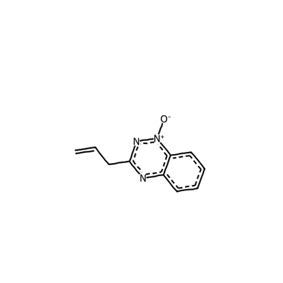 C=CCc1nc2ccccc2[n+]([O-])n1